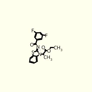 CCOC(=O)C(C)n1/c(=N/C(=O)c2cc(F)cc(F)c2)sc2ccccc21